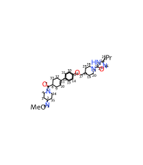 CON=C1CCN(C(=O)C2CC=C(c3ccc(OCC4CCN(C5NC(C(C)C)=NO5)CC4)cc3)CC2)CC1